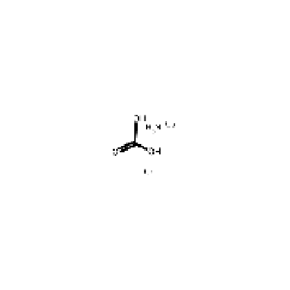 N.O=C(O)O.[Cr].[Cu]